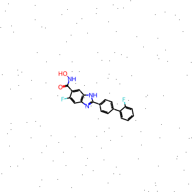 O=C(NO)c1cc2[nH]c(-c3ccc(-c4ccccc4F)cc3)nc2cc1F